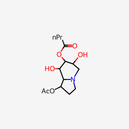 CCCC(=O)OC1C(O)CN2CCC(OC(C)=O)C2C1O